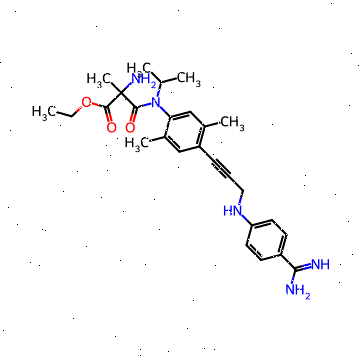 CCOC(=O)C(C)(N)C(=O)N(c1cc(C)c(C#CCNc2ccc(C(=N)N)cc2)cc1C)C(C)C